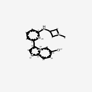 CN1CC(Nc2cccc(-c3cnc4ccc(Cl)cn34)n2)C1